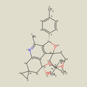 CC(C)c1nc2c(c3c1[C@H](c1ccc(C(F)(F)F)cc1)OC31CCOCC1)[C@@](O)(O[Si](C)(C)C(C)(C)C)CC1(CC1)C2